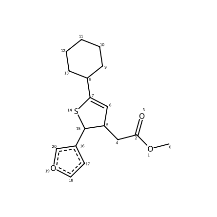 COC(=O)CC1C=C(C2CCCCC2)SC1c1ccoc1